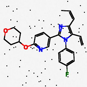 C=Cc1c(/C=C\C)nc(-c2ccc(OC3CCOCC3)nc2)n1-c1ccc(F)cc1